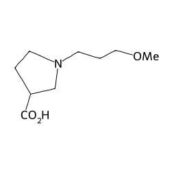 COCCCN1CCC(C(=O)O)C1